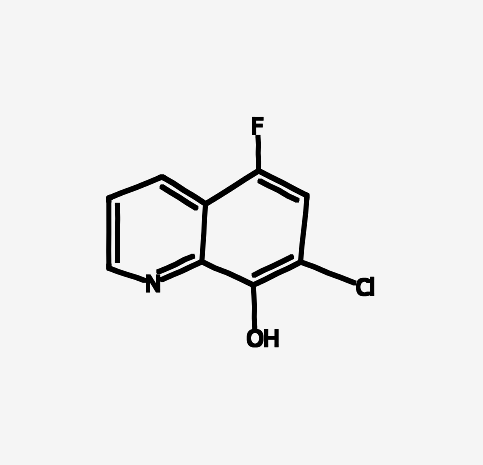 Oc1c(Cl)cc(F)c2cccnc12